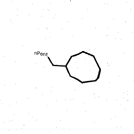 [CH2]CCCCCC1CCCCCCC1